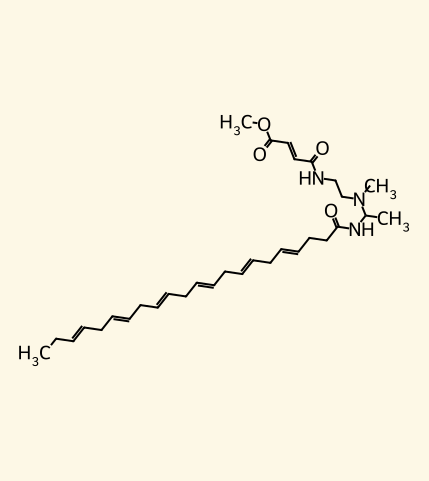 CCC=CCC=CCC=CCC=CCC=CCC=CCCC(=O)NC(C)N(C)CCNC(=O)C=CC(=O)OC